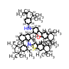 Cc1cc2c(cc1N1c3sc4cc5c(cc4c3Bc3c(-c4c(Nc6ccc7c(c6)C(C)(C)CCC7(C)C)ccc6c4oc4cc7c(cc46)C(C)(C)CCC7(C)C)cc4ccccc4c31)C(C)(C)CCC5(C)C)C(C)(C)CCC2(C)C